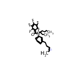 C/C=C\CCc1cccc(N(C(=O)c2c(F)c(F)c(F)c(F)c2F)C(C)(CC)CCCC)c1